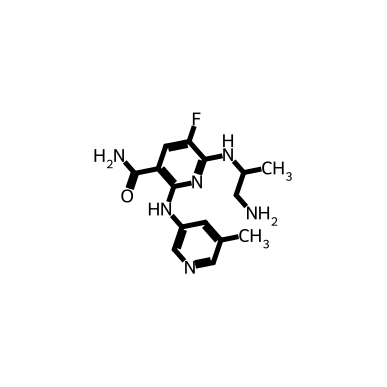 Cc1cncc(Nc2nc(NC(C)CN)c(F)cc2C(N)=O)c1